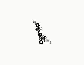 CCc1cnc(C(=O)NCCc2ccc(S(=O)(=O)N(C(N)=O)C3CCCCC3)cc2)cn1